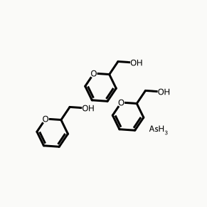 OCC1C=CC=CO1.OCC1C=CC=CO1.OCC1C=CC=CO1.[AsH3]